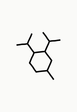 CC1CCC(C(C)C)C(C(C)C)C1